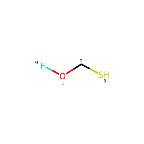 FOCS